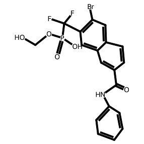 O=C(Nc1ccccc1)c1ccc2cc(Br)c(C(F)(F)P(=O)(O)OCO)cc2c1